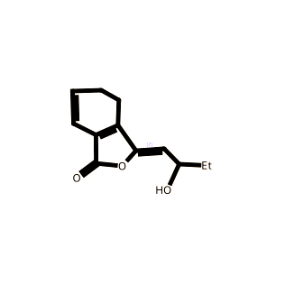 CCC(O)/C=C1\OC(=O)C2=C1CCC=C2